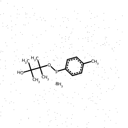 B.Cc1ccc(SOC(C)(C)C(C)(C)O)cc1